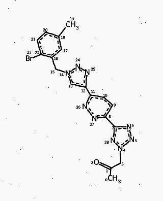 CC(=O)Cn1nnc(-c2ccc(-c3cn(Cc4cc(C)ccc4Br)nn3)nn2)n1